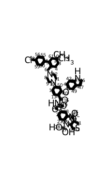 CC1(C)CCC(CN2CCN(c3ccc(C(=O)NS(=O)(=O)c4ccc(N(C(O)O)C5CCSC5)c([N+](=O)[O-])c4)c(Oc4ccc5[nH]ccc5c4)c3)CC2)=C(c2ccc(Cl)cc2)C1